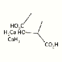 CC(=O)O.CC(O)C(=O)O.[CaH2].[CaH2]